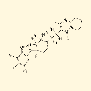 [2H]c1cc2c(C3([2H])CCN(C([2H])([2H])C([2H])([2H])c4c(C)nc5n(c4=O)CCCC5)C([2H])([2H])C3([2H])[2H])noc2c([2H])c1F